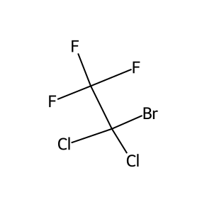 FC(F)(F)C(Cl)(Cl)Br